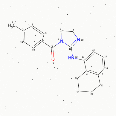 Cc1ccc(C(=O)N2CCN=C2Nc2cccc3c2CCCC3)cc1